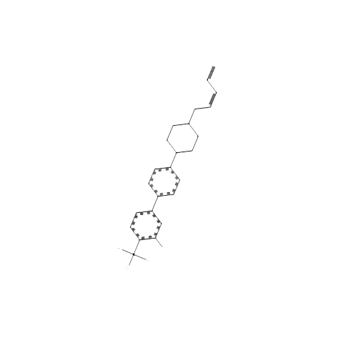 C=C/C=C\CC1CCC(c2ccc(-c3ccc(C(F)(F)F)c(F)c3)cc2)CC1